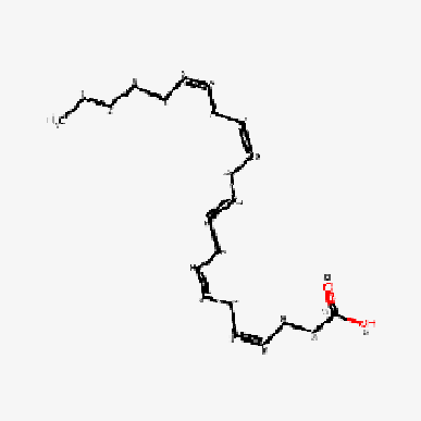 CCCCC/C=C\C/C=C\C/C=C/C/C=C\C/C=C\CCC(=O)O